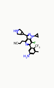 Cc1cc(N)cc(-c2nc(CCC#N)c3c(C4C5CNCC54)nn(C4CC4)c3c2F)c1C(F)(F)F